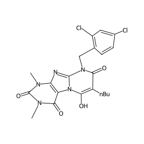 CCCCc1c(O)n2c3c(=O)n(C)c(=O)n(C)c3nc2n(Cc2ccc(Cl)cc2Cl)c1=O